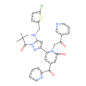 CC(C)(C)C(=O)n1nc(-c2cc(C(=O)c3ccccn3)cc(=O)n2CC(=O)c2cccnc2)cc1NCc1ccc(Cl)s1